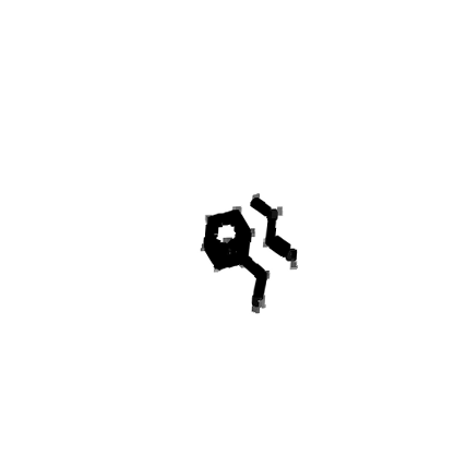 COC=O.ClCc1cc2ccc1o2